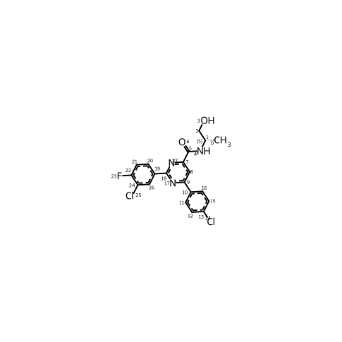 C[C@@H](CO)NC(=O)c1cc(-c2ccc(Cl)cc2)nc(-c2ccc(F)c(Cl)c2)n1